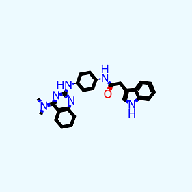 CN(C)c1nc(N[C@H]2CC[C@@H](NC(=O)Cc3c[nH]c4ccccc34)CC2)nc2c1CCCC2